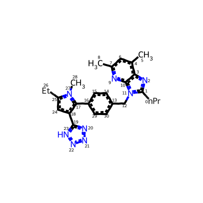 CCCc1nc2c(C)cc(C)nc2n1Cc1ccc(-c2c(-c3nnn[nH]3)cc(CC)n2C)cc1